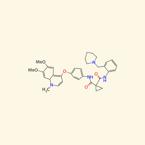 COC1=CC2=C(Oc3ccc(NC(=O)C4(C(=O)Nc5ccccc5CN5CCCCC5)CC4)cc3)C=CN(C)C2C=C1OC